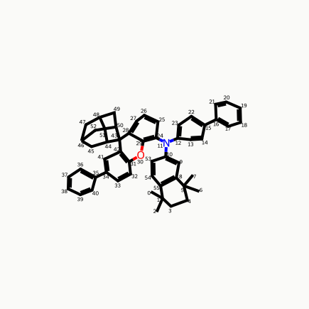 CC1(C)CCC(C)(C)c2cc(N(c3ccc(-c4ccccc4)cc3)c3cccc4c3Oc3ccc(-c5ccccc5)cc3C43C4CC5CC6CC3C64C5)ccc21